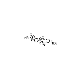 CCCCS(=O)(=O)Oc1ccc(S(=O)(=O)C(=[N+]=[N-])C(=O)c2ccc(OC(C)(C)C)cc2)cc1